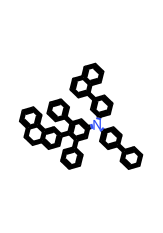 C1=CC(c2ccc(N(c3cccc(-c4cccc5ccccc45)c3)c3cc(-c4ccccc4)c(-c4ccc5c(c4)-c4ccccc4CC5)c(-c4ccccc4)c3)cc2)=CCC1